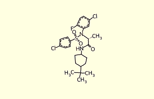 C[C@H](C(=O)NC1CCC(C(C)(C)C)CC1)N(c1cc(Cl)ccc1F)S(=O)(=O)c1ccc(Cl)cc1